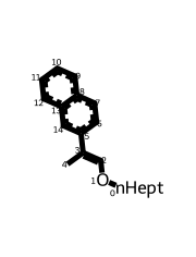 CCCCCCCOC=C(C)c1ccc2ccccc2c1